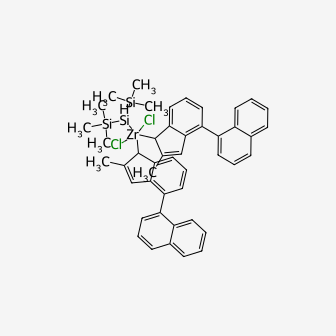 CC1=Cc2c(-c3cccc4ccccc34)cccc2[CH]1[Zr]([Cl])([Cl])([CH]1C(C)=Cc2c(-c3cccc4ccccc34)cccc21)[SiH]([Si](C)(C)C)[Si](C)(C)C